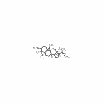 CN[C@H]1CCC23[C@@H](C)[C@]24CC[C@]2(C)C(/C(C)=N\OC)=CC[C@@]2(C)[C@@H]4CC[C@H]3C1(C)C